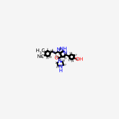 Cc1cc(/C=C/c2n[nH]c3nc(-c4ccc(O)cc4)cc(C(=O)N4CCNCC4)c23)ccc1C#N